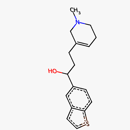 CN1CCC=C(CCC(O)c2ccc3sccc3c2)C1